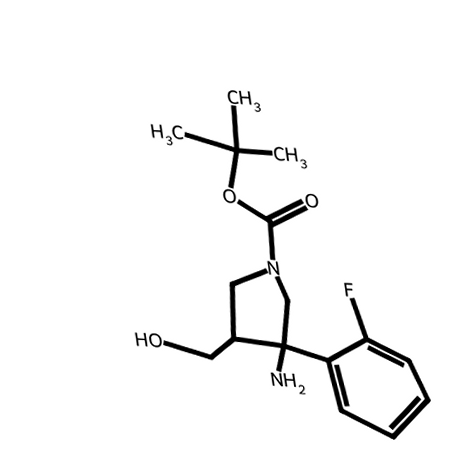 CC(C)(C)OC(=O)N1CC(CO)C(N)(c2ccccc2F)C1